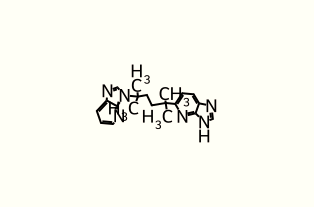 CC(C)(CCC(C)(C)n1cnc2cccnc21)c1ccc2nc[nH]c2n1